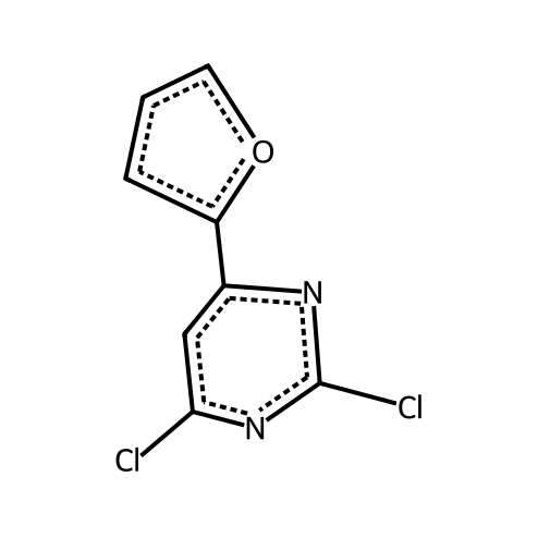 Clc1cc(-c2ccco2)nc(Cl)n1